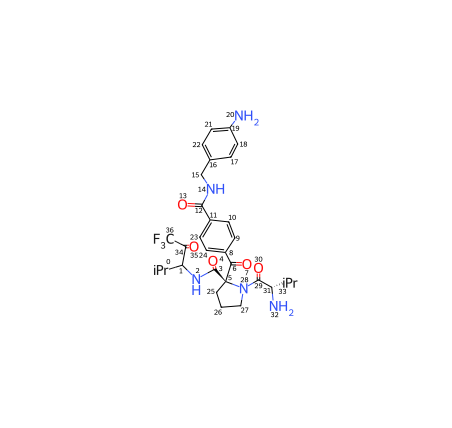 CC(C)C(NC(=O)[C@]1(C(=O)c2ccc(C(=O)NCc3ccc(N)cc3)cc2)CCCN1C(=O)[C@@H](N)C(C)C)C(=O)C(F)(F)F